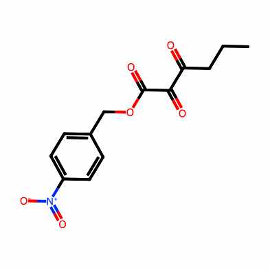 CCCC(=O)C(=O)C(=O)OCc1ccc([N+](=O)[O-])cc1